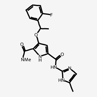 CNC(=O)c1[nH]c(C(=O)Nc2ncc(C)[nH]2)cc1OC(C)c1ccccc1F